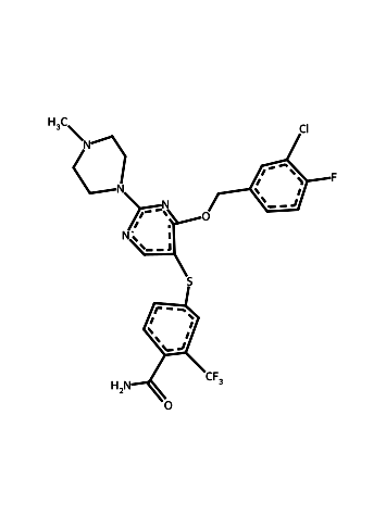 CN1CCN(c2ncc(Sc3ccc(C(N)=O)c(C(F)(F)F)c3)c(OCc3ccc(F)c(Cl)c3)n2)CC1